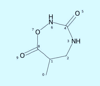 CC1CNC(=O)NOC1=O